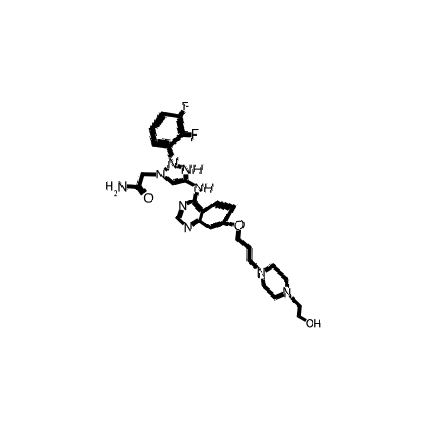 NC(=O)CN1C=C(Nc2ncnc3cc(OCCCN4CCN(CCO)CC4)ccc23)NN1c1cccc(F)c1F